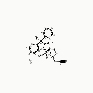 C#CC[N+]12CCC(CC1)[C@@H](OC(=O)C(F)(c1ccccc1)c1ccccc1)C2.[Br-]